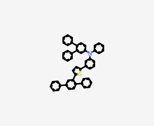 c1ccc(-c2ccc(-c3ccccc3)c(-c3ccc(-c4cccc(N(c5ccccc5)c5ccc(-c6ccccc6)c(-c6ccccc6)c5)c4)s3)c2)cc1